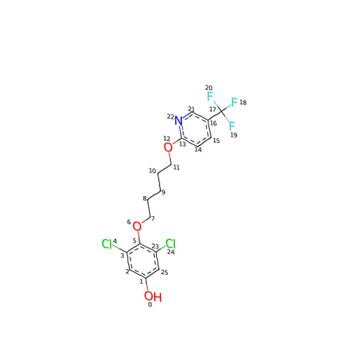 Oc1cc(Cl)c(OCCCCCOc2ccc(C(F)(F)F)cn2)c(Cl)c1